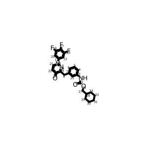 O=C(Nc1cccc(Cc2nn(-c3cc(F)c(F)c(F)c3)ccc2=O)c1)OCC1CCCCC1